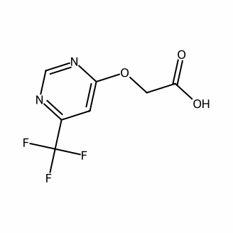 O=C(O)COc1cc(C(F)(F)F)ncn1